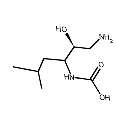 CC(C)CC(NC(=O)O)[C@@H](O)CN